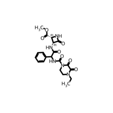 CCN1CCN(C(=O)NC(C(=O)N[C@H]2C(=O)N[C@H]2C(=O)OC)c2ccccc2)C(=O)C1=O